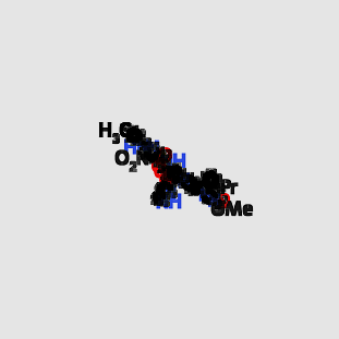 COC(=O)N1CCN(C2CC3(CCN(c4ccc(C(=O)NS(=O)(=O)c5cnc(NC[C@H]6CC[C@@H](C)CC6)c([N+](=O)[O-])c5)c(Oc5cnc6[nH]ccc6c5)c4)CC3)C2)[C@H](c2ccccc2C(C)C)C1